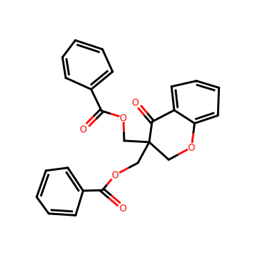 O=C(OCC1(COC(=O)c2ccccc2)COc2ccccc2C1=O)c1ccccc1